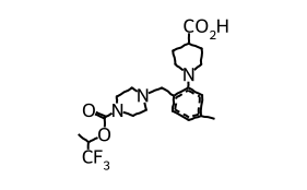 Cc1ccc(CN2CCN(C(=O)OC(C)C(F)(F)F)CC2)c(N2CCC(C(=O)O)CC2)c1